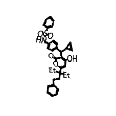 CCC(CC)(CCc1ccccc1)c1cc(O)c(C(c2ccc(NS(=O)(=O)c3ccccc3)cc2)C2CC2)c(=O)o1